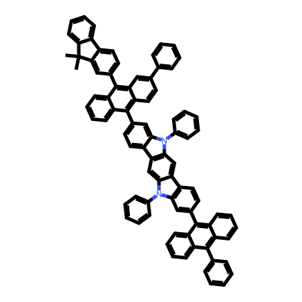 CC1(C)c2ccccc2-c2ccc(-c3c4ccccc4c(-c4ccc5c6cc7c(cc6n(-c6ccccc6)c5c4)c4ccc(-c5c6ccccc6c(-c6ccccc6)c6ccccc56)cc4n7-c4ccccc4)c4ccc(-c5ccccc5)cc34)cc21